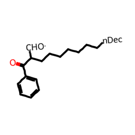 CCCCCCCCCCCCCCCCCC([C]=O)C(=O)c1ccccc1